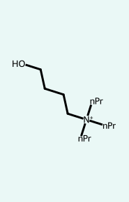 CCC[N+](CCC)(CCC)CCCCO